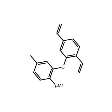 C=Cc1ccc(C=C)c(Oc2cc(C)ccc2NC)c1